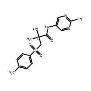 Cc1ccc(S(=O)(=O)C[C@](C)(O)C(=O)Nc2cnc(C#N)nc2)cc1